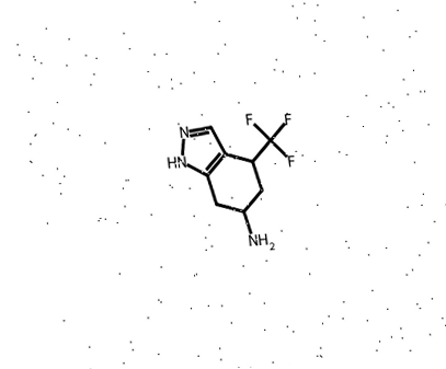 NC1Cc2[nH]ncc2C(C(F)(F)F)C1